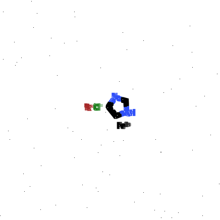 [Br-].[Cl-].[Fe+2].c1c[nH]cn1